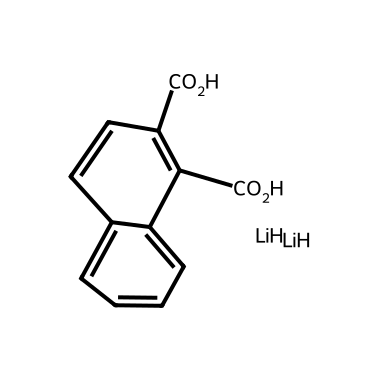 O=C(O)c1ccc2ccccc2c1C(=O)O.[LiH].[LiH]